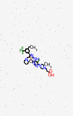 CCc1cc(-c2nc(Nc3ncnc(N4CCN(CCC(=O)O)[C@@H](C)C4)c3F)sc2CN2CCCC[C@H]2C)cc(C(F)(F)F)c1